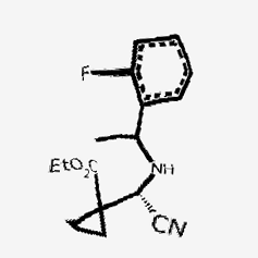 CCOC(=O)C1([C@@H](C#N)NC(C)c2ccccc2F)CC1